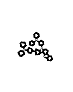 c1ccc(N(c2ccccc2)c2ccc(-c3ccc4c5c6sc7ccccc7c6ccc5n(-c5cccc(N(c6ccccc6)c6ccccc6)c5)c4c3)cc2)cc1